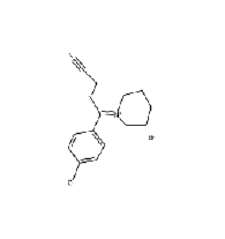 N#CCSC(c1ccc(Cl)cc1)=[N+]1CCCCC1.[Br-]